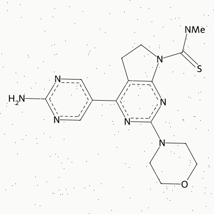 CNC(=S)N1CCc2c(-c3cnc(N)nc3)nc(N3CCOCC3)nc21